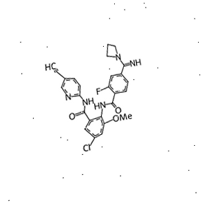 C#Cc1ccc(NC(=O)c2cc(Cl)cc(OC)c2NC(=O)c2ccc(C(=N)N3CCC3)cc2F)nc1